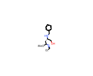 CC/C=N\C(C[C@@H](CO)NCc1ccccc1)OC